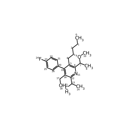 CCCCCc1c(C(C)OC)nc(C(C)C)c(CO)c1-c1ccc(F)cc1